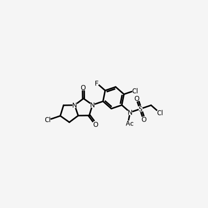 CC(=O)N(c1cc(N2C(=O)C3CC(Cl)CN3C2=O)c(F)cc1Cl)S(=O)(=O)CCl